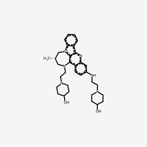 C[C@H]1CN(CCN2CCC(O)CC2)c2c3ccc(NCCN4CCC(O)CC4)cc3nc3c4ccccc4n(c23)C1